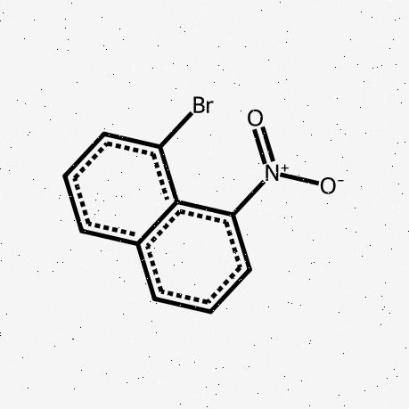 O=[N+]([O-])c1cccc2cccc(Br)c12